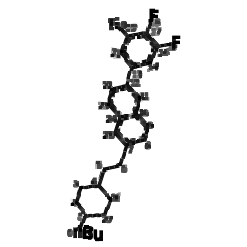 CCCCC1CCC(CCc2ccc3cc(-c4cc(F)c(F)c(F)c4)ccc3c2)CC1